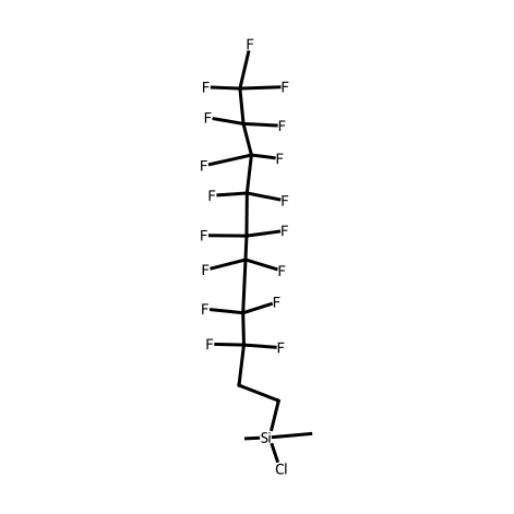 C[Si](C)(Cl)CCC(F)(F)C(F)(F)C(F)(F)C(F)(F)C(F)(F)C(F)(F)C(F)(F)C(F)(F)F